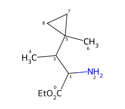 CCOC(=O)C(N)C(C)C1(C)CC1